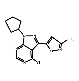 Cc1cc(-c2nn(C3CCCC3)c3ncnc(Cl)c23)on1